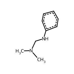 CN(C)CNc1ccccc1